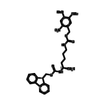 COc1cc(COC(=O)NCCCC[C@H](NC(=O)OCC2c3ccccc3-c3ccccc32)C(=O)O)c([N+](=O)[O-])cc1OC